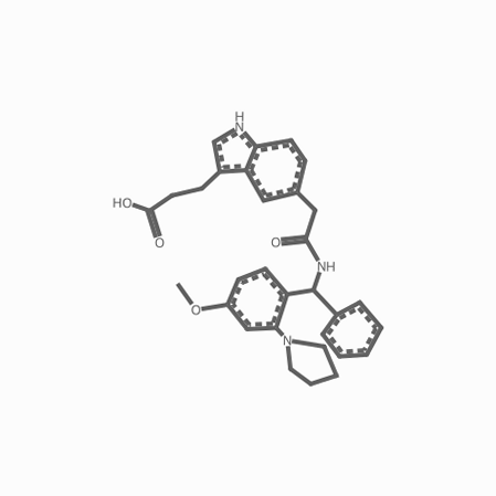 COc1ccc(C(NC(=O)Cc2ccc3[nH]cc(CCC(=O)O)c3c2)c2ccccc2)c(N2CCCC2)c1